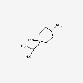 CN(C)C[C@]1(O)CC[C@H](N)CC1